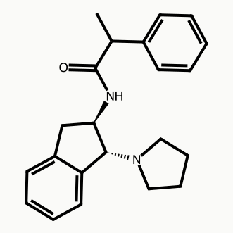 CC(C(=O)N[C@@H]1Cc2ccccc2[C@H]1N1CCCC1)c1ccccc1